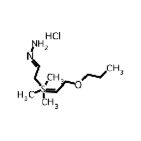 CCCOCC=S(C)(C)(C)CC=NN.Cl